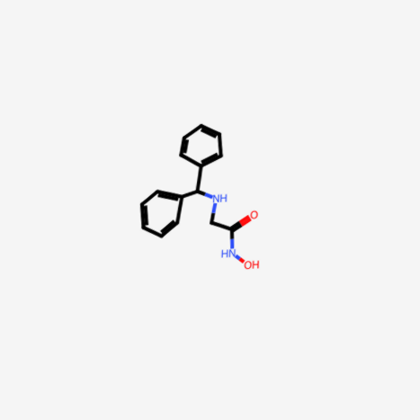 O=C(CNC(c1ccccc1)c1ccccc1)NO